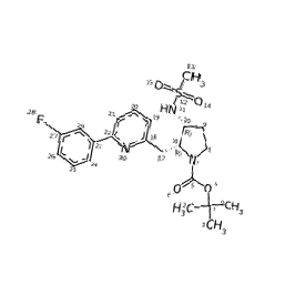 CC(C)(C)OC(=O)N1CC[C@@H](NS(C)(=O)=O)[C@H]1Cc1cccc(-c2cccc(F)c2)n1